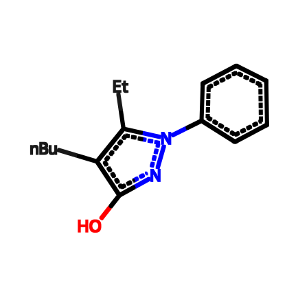 CCCCc1c(O)nn(-c2ccccc2)c1CC